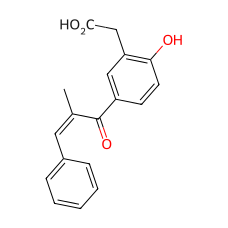 CC(=Cc1ccccc1)C(=O)c1ccc(O)c(CC(=O)O)c1